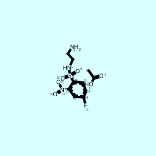 CC(=O)O.NCCNS(=O)(=O)c1ccc(F)cc1[N+](=O)[O-]